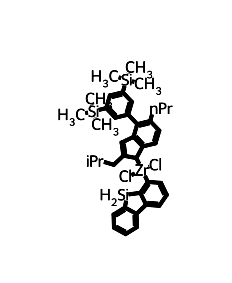 CCCc1ccc2c(c1-c1cc([Si](C)(C)C)cc([Si](C)(C)C)c1)C=C(CC(C)C)[CH]2[Zr]([Cl])([Cl])[c]1cccc2c1[SiH2]c1ccccc1-2